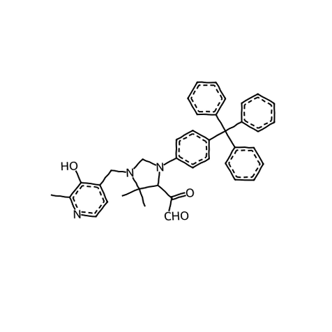 Cc1nccc(CN2CN(c3ccc(C(c4ccccc4)(c4ccccc4)c4ccccc4)cc3)C(C(=O)C=O)C2(C)C)c1O